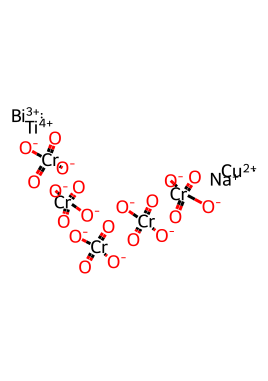 [Bi+3].[Cu+2].[Na+].[O]=[Cr](=[O])([O-])[O-].[O]=[Cr](=[O])([O-])[O-].[O]=[Cr](=[O])([O-])[O-].[O]=[Cr](=[O])([O-])[O-].[O]=[Cr](=[O])([O-])[O-].[Ti+4]